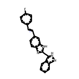 Fc1ccc(/C=C/c2ccc3nc(-c4[nH]nc5ccccc45)[nH]c3c2)cc1